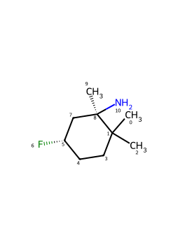 CC1(C)CC[C@H](F)C[C@@]1(C)N